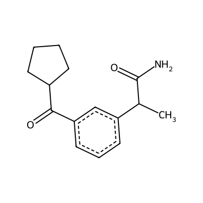 CC(C(N)=O)c1cccc(C(=O)C2CCCC2)c1